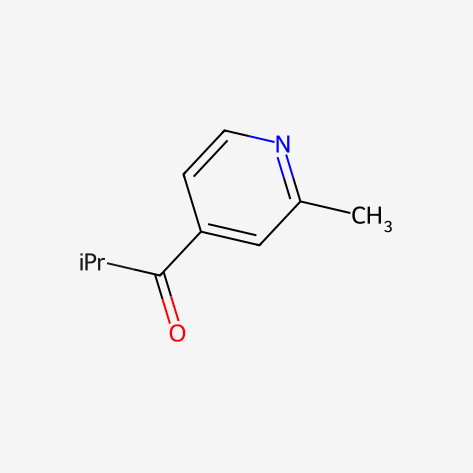 Cc1cc(C(=O)C(C)C)ccn1